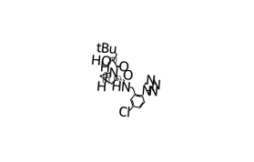 CC(C)(C)C[C@@H](O)C(=O)N1[C@H](C(=O)NCc2cc(Cl)ccc2-n2cnnn2)C[C@@H]2C[C@@H]21